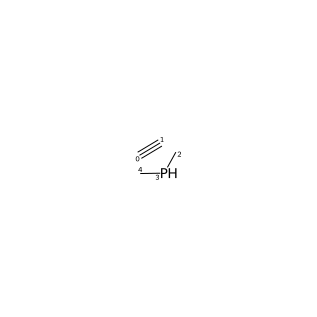 C#C.CPC